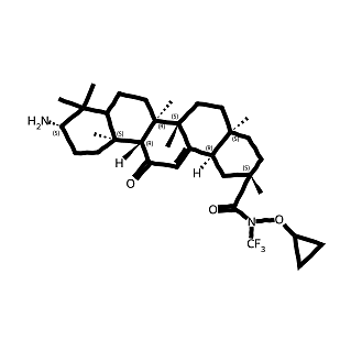 CC1(C)C2CC[C@]3(C)[C@H](C(=O)C=C4[C@@H]5C[C@@](C)(C(=O)N(OC6CC6)C(F)(F)F)CC[C@]5(C)CC[C@]43C)[C@@]2(C)CC[C@@H]1N